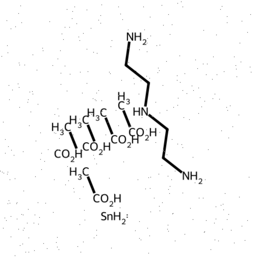 CC(=O)O.CC(=O)O.CC(=O)O.CC(=O)O.CC(=O)O.NCCNCCN.[SnH2]